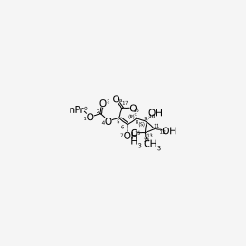 CCCOC(=O)OC1=C(O)[C@@H]([C@@]2(O)C(O)C2(C)C)OC1=O